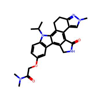 CC(C)n1c2ccc(OCC(=O)N(C)C)cc2c2c3c(c4c(c21)CCc1nn(C)cc1-4)C(=O)NC3